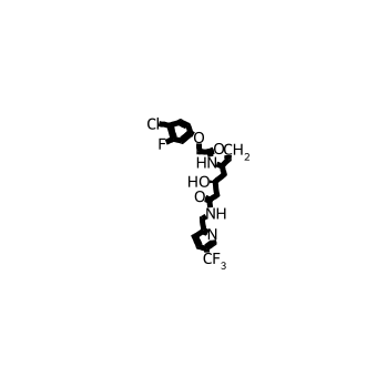 C=CC(C[C@H](O)CC(=O)NCc1ccc(C(F)(F)F)cn1)NC(=O)COc1ccc(Cl)c(F)c1